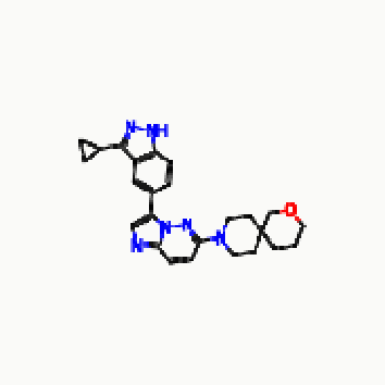 c1cc2[nH]nc(C3CC3)c2cc1-c1cnc2ccc(N3CCC4(CCCOC4)CC3)nn12